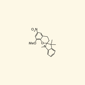 COc1cc([N+](=O)[O-])cc2c1OC1(CC2)N(C)c2ccccc2C1(C)C